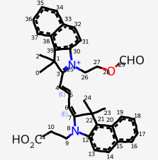 CC1(C)C(/C=C/C=C2/N(CCC(=O)O)c3ccc4ccccc4c3C2(C)C)=[N+](CCOC=O)c2ccc3ccccc3c21